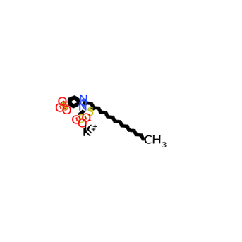 CCCCCCCCCCCCCCCC(=S)Cc1nc2ccc(S(=O)(=O)[O-])cc2n1CCS(=O)(=O)[O-].[K+].[K+]